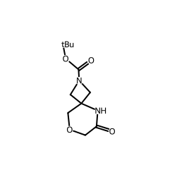 CC(C)(C)OC(=O)N1CC2(COCC(=O)N2)C1